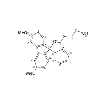 COc1ccc(C(OCCCCO)(c2ccccc2)c2ccc(OC)cc2)cc1